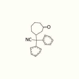 N#CC(c1ccccc1)(c1ccccc1)C1CCCCC(=O)C1